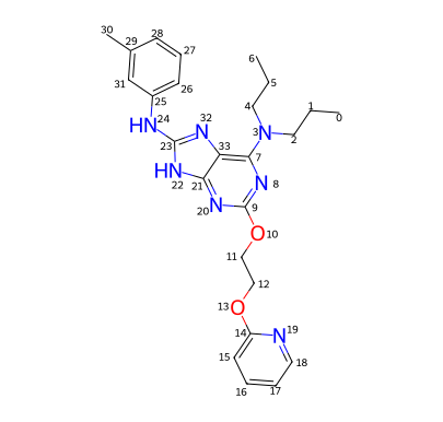 CCCN(CCC)c1nc(OCCOc2ccccn2)nc2[nH]c(Nc3cccc(C)c3)nc12